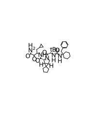 CC(C)(C)[C@H](NC(=O)NC1(Cc2ccccc2)CCCCC1)C(=O)N1C[C@H]2[C@@H]([C@H]1C(=O)NC(CC1CC1)C(=O)C(N)=O)C21CCCC1